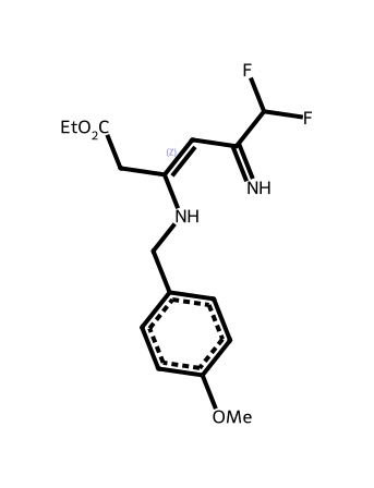 CCOC(=O)C/C(=C/C(=N)C(F)F)NCc1ccc(OC)cc1